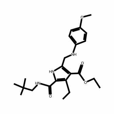 CCOC(=O)c1c(CNc2ccc(OC)cc2)[nH]c(C(=O)NCC(C)(C)C)c1CC